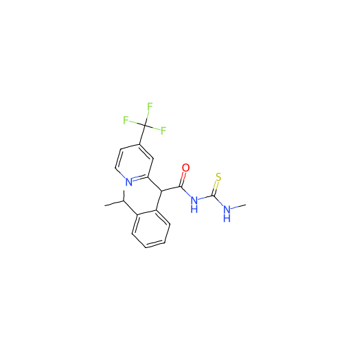 CNC(=S)NC(=O)C(c1cc(C(F)(F)F)ccn1)c1ccccc1C(C)C